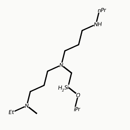 CCCNCCCN(CCCN(C)CC)C[SiH2]OC(C)C